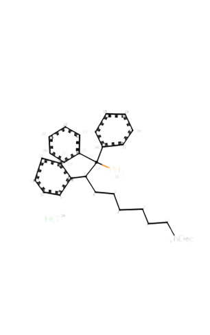 CCCCCCCCCCCCCCCCC(c1ccccc1)C(P)(c1ccccc1)c1ccccc1.Cl